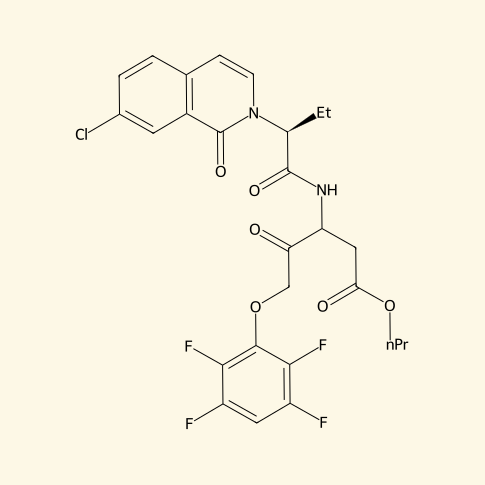 CCCOC(=O)CC(NC(=O)[C@H](CC)n1ccc2ccc(Cl)cc2c1=O)C(=O)COc1c(F)c(F)cc(F)c1F